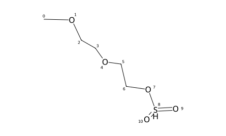 COCCOCCO[SH](=O)=O